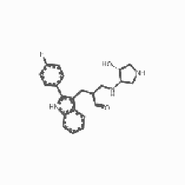 O=CC(CN[C@@H]1CNC[C@H]1O)Cc1c(-c2ccc(F)cc2)[nH]c2ccccc12